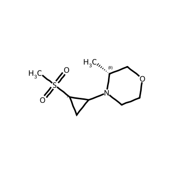 C[C@@H]1COCCN1C1C[C]1S(C)(=O)=O